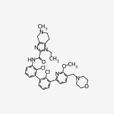 CCn1c(C(=O)Nc2cccc(-c3cccc(-c4ccc(CN5CCOCC5)c(OC)n4)c3Cl)c2Cl)nc2c1CCN(C)C2